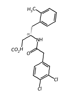 Cc1ccccc1C[C@@H](CC(=O)O)NC(=O)Cc1ccc(Cl)c(Cl)c1